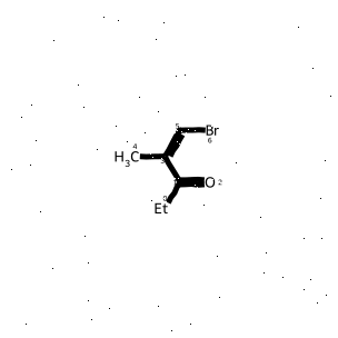 CCC(=O)/C(C)=C\Br